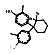 Cc1cc(C2(c3ccc(O)c(C)c3)CCCCC2(Br)Br)ccc1O